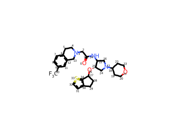 O=C(CN1CCc2ccc(C(F)(F)F)cc2C1)NC1CN(C2CCOCC2)C[C@@H]1OC1CCc2ccsc21